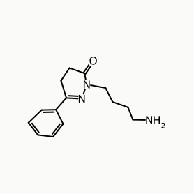 NCCCCN1N=C(c2ccccc2)CCC1=O